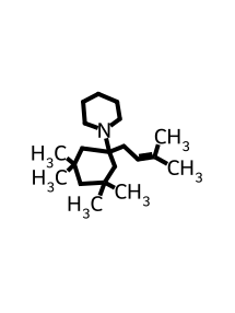 CC(C)=CCC1(N2CCCCC2)CC(C)(C)CC(C)(C)C1